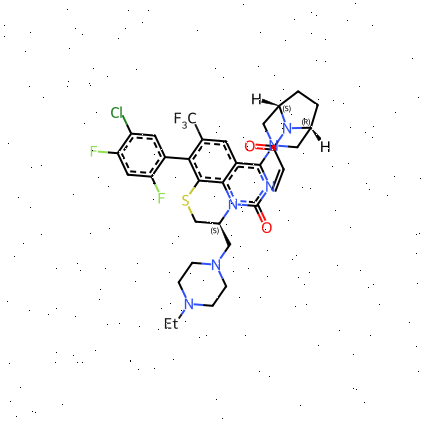 C=CC(=O)N1[C@@H]2CC[C@H]1CN(c1nc(=O)n3c4c(c(-c5cc(Cl)c(F)cc5F)c(C(F)(F)F)cc14)SC[C@@H]3CN1CCN(CC)CC1)C2